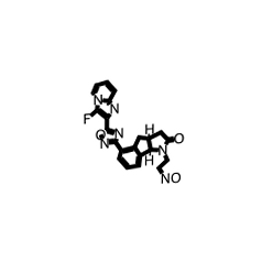 O=NCCN1C(=O)C[C@@H]2Cc3c(-c4noc(-c5nc6ccccn6c5F)n4)cccc3[C@@H]21